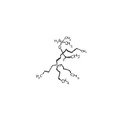 C=C(F)C(C/C=[CH]/[Sn]([CH2]CCC)([CH2]CCC)[CH2]CCC)(CCCC)O[Si](C)(C)C